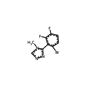 Cn1cnnc1-c1c(Br)ccc(F)c1F